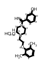 Cc1cccc(C)c1OCCN1CCN(C(=N)c2cccc(O)c2)CC1.Cl.Cl